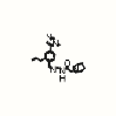 C=CCc1cc(-c2cncn2C)ccc1/C=N\CNC(=O)CN1C2CCC1CC2